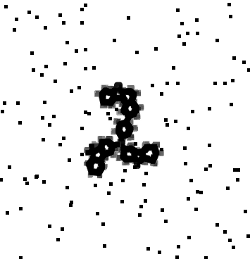 CC1(C)c2ccccc2-c2cc(N(c3ccc(-c4ccc5ccc6oc7ccccc7c6c5c4)cc3)c3ccc4sc5ccccc5c4c3)ccc21